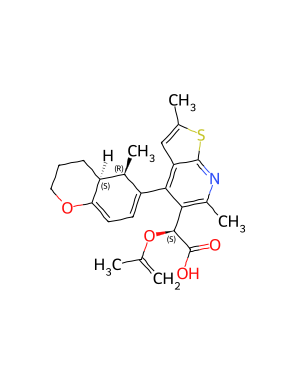 C=C(C)O[C@H](C(=O)O)c1c(C)nc2sc(C)cc2c1C1=CC=C2OCCC[C@H]2[C@H]1C